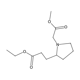 CCOC(=O)CCC1CCCN1CC(=O)OC